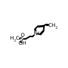 C=Cc1cc[n+](CCCS(=C)(=O)O)cc1